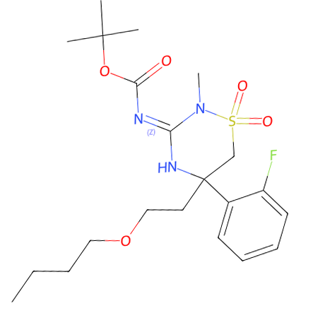 CCCCOCCC1(c2ccccc2F)CS(=O)(=O)N(C)/C(=N\C(=O)OC(C)(C)C)N1